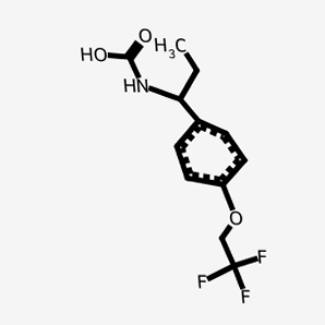 CCC(NC(=O)O)c1ccc(OCC(F)(F)F)cc1